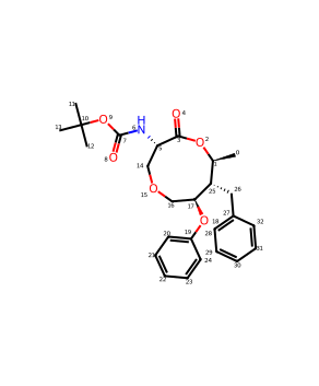 C[C@@H]1OC(=O)[C@@H](NC(=O)OC(C)(C)C)COC[C@H](Oc2ccccc2)[C@H]1Cc1ccccc1